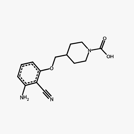 N#Cc1c(N)cccc1OCC1CCN(C(=O)O)CC1